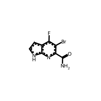 NC(=O)c1nc2[nH]c[c]c2c(F)c1Br